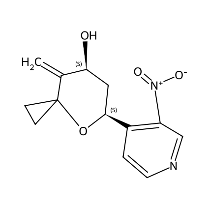 C=C1[C@@H](O)C[C@@H](c2ccncc2[N+](=O)[O-])OC12CC2